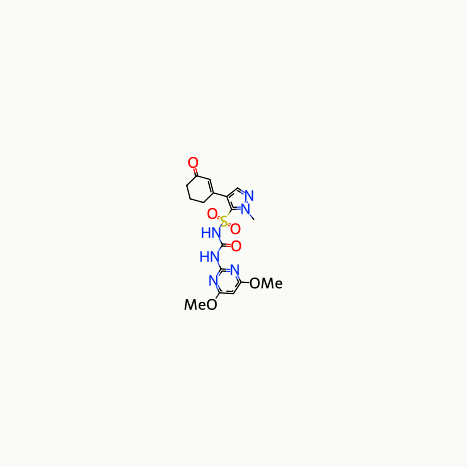 COc1cc(OC)nc(NC(=O)NS(=O)(=O)c2c(C3=CC(=O)CCC3)cnn2C)n1